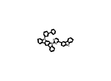 c1ccc(-c2cccc(-n3c4ccccc4c4cc5c6ccccc6n(-c6nccc(-c7ccc8sc9ccccc9c8c7)n6)c5cc43)c2)cc1